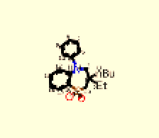 CCCCC1(CC)CN(c2ccccc2)c2ccccc2S(=O)(=O)C1